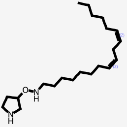 CCCCC/C=C\C/C=C\CCCCCCCNOC1CCNC1